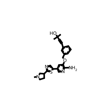 CN1CCC(c2ncc(-c3cnc(N)c(OCc4cccc(C#CC(C)(C)O)c4)c3)s2)C1